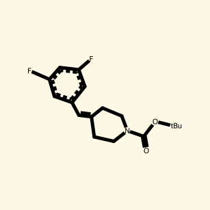 CC(C)(C)OC(=O)N1CCC(=Cc2cc(F)cc(F)c2)CC1